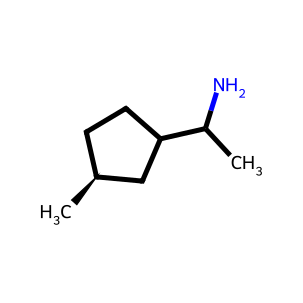 CC(N)C1CC[C@H](C)C1